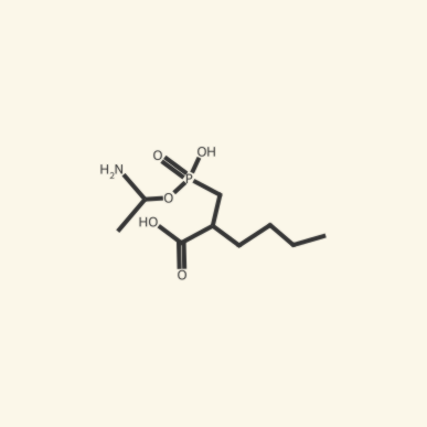 CCCCC(CP(=O)(O)OC(C)N)C(=O)O